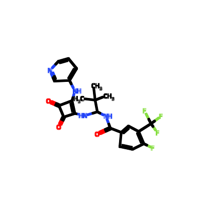 CC(C)(C)C(NC(=O)c1ccc(F)c(C(F)(F)F)c1)Nc1c(Nc2cccnc2)c(=O)c1=O